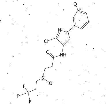 O=C(CC[S+]([O-])CCC(F)(F)F)Nc1cn(-c2ccc[n+]([O-])c2)nc1Cl